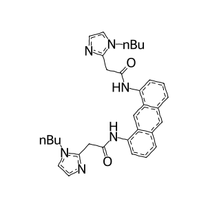 CCCCn1ccnc1CC(=O)Nc1cccc2cc3cccc(NC(=O)Cc4nccn4CCCC)c3cc12